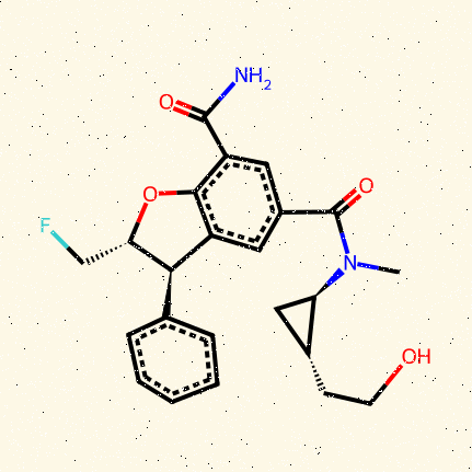 CN(C(=O)c1cc(C(N)=O)c2c(c1)[C@@H](c1ccccc1)[C@H](CF)O2)[C@@H]1C[C@H]1CCO